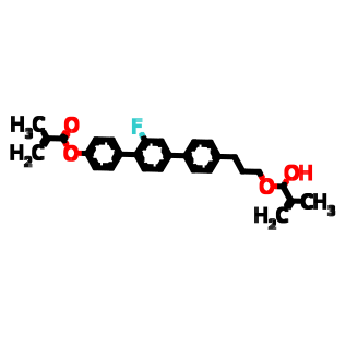 C=C(C)C(=O)Oc1ccc(-c2ccc(-c3ccc(CCCOC(O)C(=C)C)cc3)cc2F)cc1